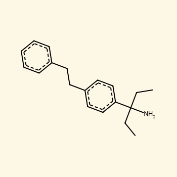 CCC(N)(CC)c1ccc(CCc2ccccc2)cc1